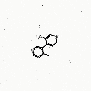 Cc1ccncc1C1=CCN[C]=C1C(F)(F)F